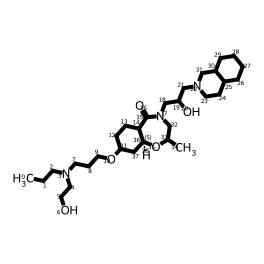 CCCN(CCO)CCCOC1CCC2C(=O)N(CC(O)CN3CCC4CCCCC4C3)CC(C)O[C@H]2C1